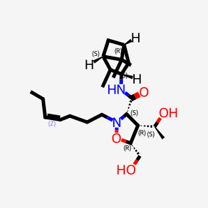 CC/C=C\CCCN1O[C@@H](CO)[C@@H]([C@H](C)O)[C@H]1C(=O)N[C@H]1C[C@H]2C[C@@H](C1C)C2(C)C